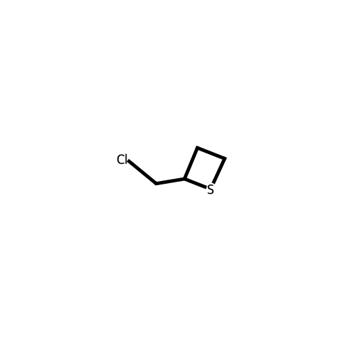 ClCC1CCS1